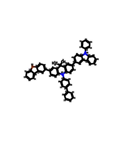 CC1(C)c2cc(-c3ccc4sc5ccccc5c4c3)ccc2N(c2ccc(-c3ccccc3)cc2)c2ccc(-c3ccc4c(c3)c3ccccc3n4-c3ccccc3)cc21